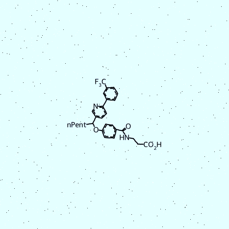 CCCCCC(Oc1ccc(C(=O)NCCC(=O)O)cc1)c1ccc(-c2cccc(C(F)(F)F)c2)nc1